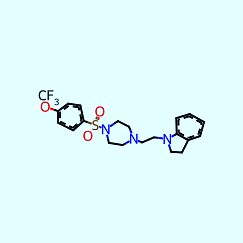 O=S(=O)(c1ccc(OC(F)(F)F)cc1)N1CCN(CCN2CCc3ccccc32)CC1